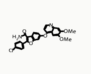 COc1cc2nccc(Oc3ccc4c(C(N)=O)c(-c5ccc(Cl)cc5)oc4c3)c2cc1OC